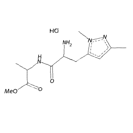 COC(=O)C(C)NC(=O)C(N)Cc1cc(C)nn1C.Cl